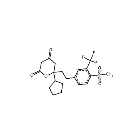 CS(=O)(=O)c1ccc(CCC2(C3CCCC3)CC(=O)CC(=O)O2)cc1C(F)(F)F